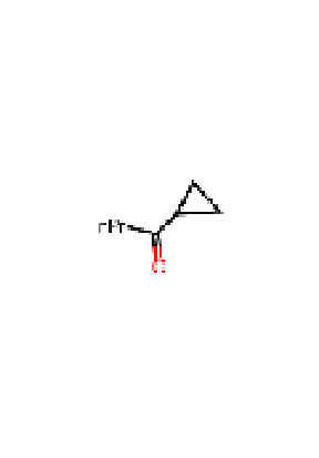 CCCC(=O)C1CC1